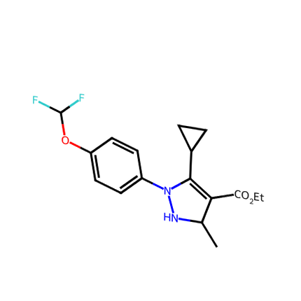 CCOC(=O)C1=C(C2CC2)N(c2ccc(OC(F)F)cc2)NC1C